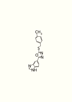 Cc1ccc(CSc2nnc(-c3ccc4[nH]cnc4c3)o2)cc1